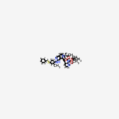 Cc1cc(SCc2ccccc2)ccc1Nc1cc2c(C#Cc3cccnc3N(C(=O)OC(C)(C)C)C(=O)OC(C)(C)C)nccc2cn1